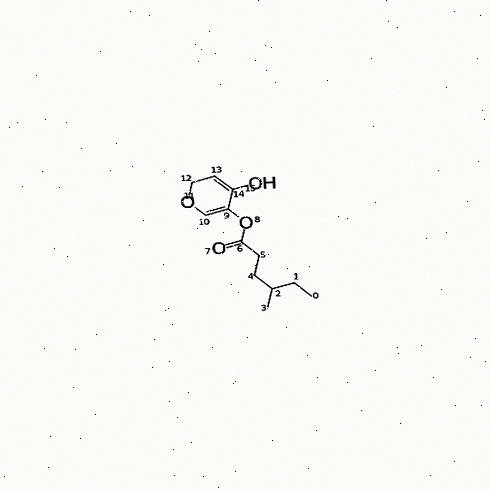 CCC(C)CCC(=O)OC1=COCC=C1O